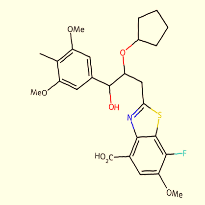 COc1cc(C(O)C(Cc2nc3c(C(=O)O)cc(OC)c(F)c3s2)OC2CCCC2)cc(OC)c1C